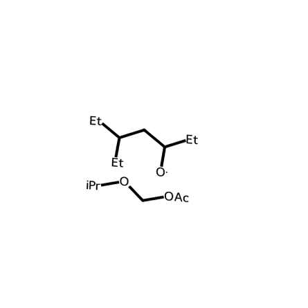 CC(=O)OCOC(C)C.CCC([O])CC(CC)CC